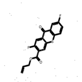 C=CCOC(=O)c1cc2sc3ccc(F)cc3c(=O)c2cc1F